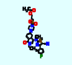 CCN1C=C(N(C)c2nc(-c3ccc(F)cc3)c(C#N)s2)C2CC(N3CCN(S(=O)(=O)CCCOC(C)=O)CC3)=CC=C2C1=O